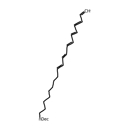 [CH]=C/C=C/C=C/C=C/C=C/C=C/CCCCCCCCCCCCCCCCCC